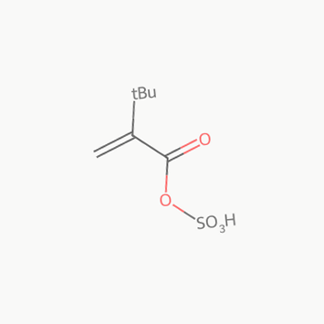 C=C(C(=O)OS(=O)(=O)O)C(C)(C)C